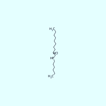 CCCCCCCCCCPCCCCCC.Cl